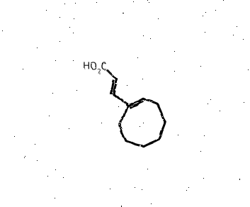 O=C(O)C=CC1=CCCCCCC1